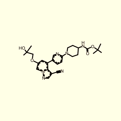 CC(C)(O)COc1cc(-c2ccc(N3CCC(NC(=O)OC(C)(C)C)CC3)nc2)c2c(C#N)cnn2c1